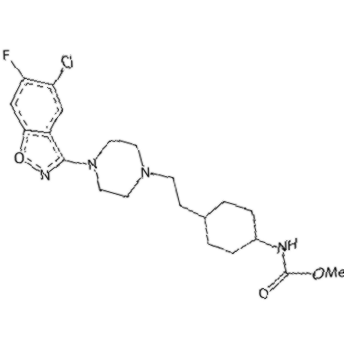 COC(=O)NC1CCC(CCN2CCN(c3noc4cc(F)c(Cl)cc34)CC2)CC1